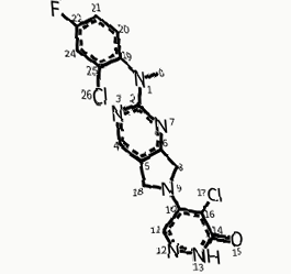 CN(c1ncc2c(n1)CN(c1cn[nH]c(=O)c1Cl)C2)c1ccc(F)cc1Cl